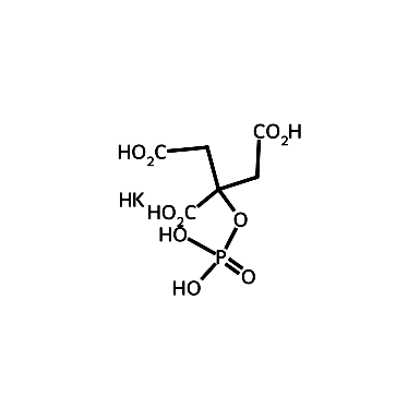 O=C(O)CC(CC(=O)O)(OP(=O)(O)O)C(=O)O.[KH]